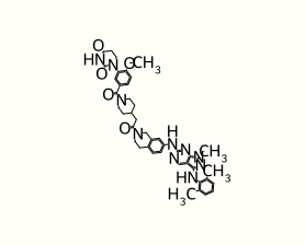 COc1ccc(C(=O)N2CCC(CC(=O)N3CCc4ccc(Nc5ncc6c(Nc7c(C)cccc7C)nn(C)c6n5)cc4C3)CC2)cc1N1CCC(=O)NC1=O